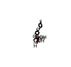 CC1(C)NCCC(S(=O)(=O)c2ccc(OCc3ccc(F)cc3)cc2)C1(O)C(=O)NO